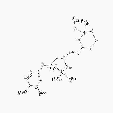 CCOC(=O)CC1(O)CCCC(/C=C/C(CCCc2ccc(OC)c(OC)c2)O[Si](C)(C)C(C)(C)C)C1